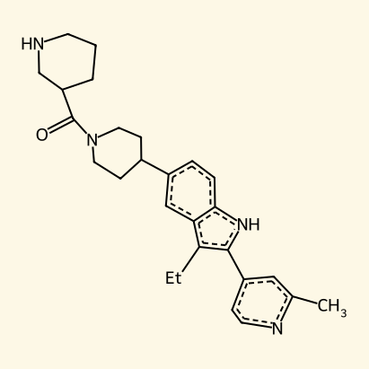 CCc1c(-c2ccnc(C)c2)[nH]c2ccc(C3CCN(C(=O)C4CCCNC4)CC3)cc12